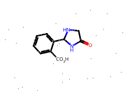 O=C1CNC(c2ccccc2C(=O)O)N1